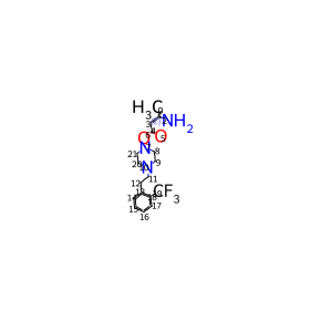 C/C(N)=C/C(=O)ON1CCN(CCc2ccccc2C(F)(F)F)CC1